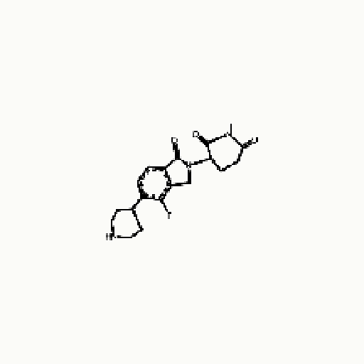 O=C1CCC(N2Cc3c(ccc(C4CCNCC4)c3F)C2=O)C(=O)N1